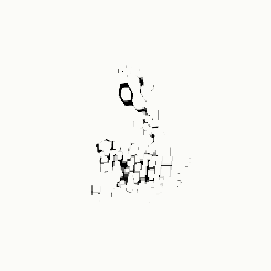 CC[C@H](C)[C@H](NC(=O)[C@H]1CCCCN1C)C(=O)N(C)[C@H](CCc1nc(C(=O)N[C@H](CCC(=O)O)Cc2ccccc2)cs1)C(C)C